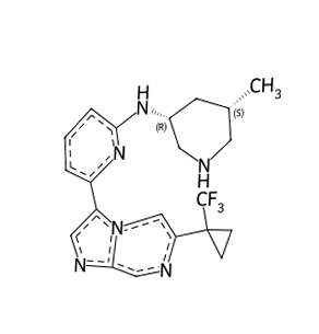 C[C@@H]1CNC[C@H](Nc2cccc(-c3cnc4cnc(C5(C(F)(F)F)CC5)cn34)n2)C1